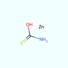 NC(O)=S.[Zn]